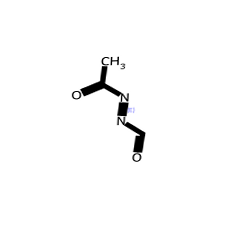 CC(=O)/N=N/C=O